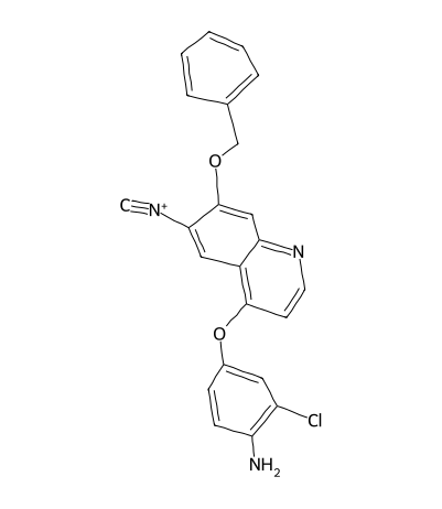 [C-]#[N+]c1cc2c(Oc3ccc(N)c(Cl)c3)ccnc2cc1OCc1ccccc1